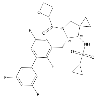 O=C(C1CCO1)N1CC2(CC2)[C@H](NS(=O)(=O)C2CC2)[C@@H]1Cc1cc(F)cc(-c2cc(F)cc(F)c2)c1F